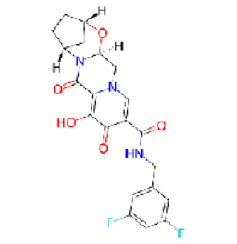 O=C(NCc1cc(F)cc(F)c1)c1cn2c(c(O)c1=O)C(=O)N1[C@@H]3CC[C@@H](C3)O[C@H]1C2